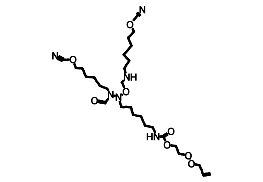 C=CCOOCCOC(=O)NCCCCCCN(OCNCCCCCCOC#N)N(C=O)CCCCCCOC#N